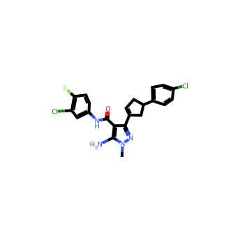 Cn1nc(C2=CCC(c3ccc(Cl)cc3)C2)c(C(=O)Nc2ccc(F)c(Cl)c2)c1N